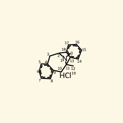 CN1C2Cc3ccccc3CC1(C)c1ccccc12.Cl